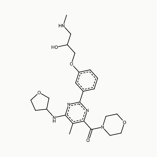 CNCC(O)COc1cccc(-c2nc(NC3CCOC3)c(C)c(C(=O)N3CCOCC3)n2)c1